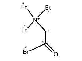 CC[N+](CC)(CC)CC(=O)Br